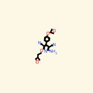 N#Cc1c(N)nc(OCCC2COC2)c(C#N)c1-c1ccc(OC2COC2)cc1